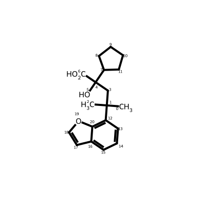 CC(C)(CC(O)(C(=O)O)C1CCCC1)c1cccc2ccoc12